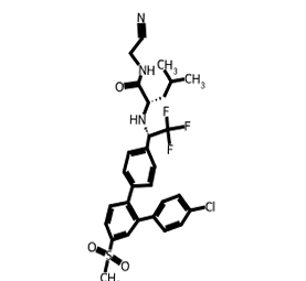 CC(C)C[C@H](N[C@@H](c1ccc(-c2ccc(S(C)(=O)=O)cc2-c2ccc(Cl)cc2)cc1)C(F)(F)F)C(=O)NCC#N